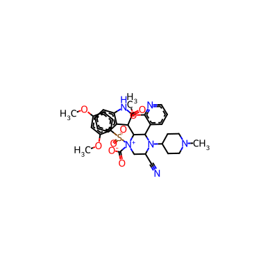 COc1ccc(S(=O)(=O)[N+]2(C(=O)[O-])CC(C#N)N(C3CCN(C)CC3)C(c3cccnc3OC)C2C2C(=O)Nc3ccccc32)c(OC)c1